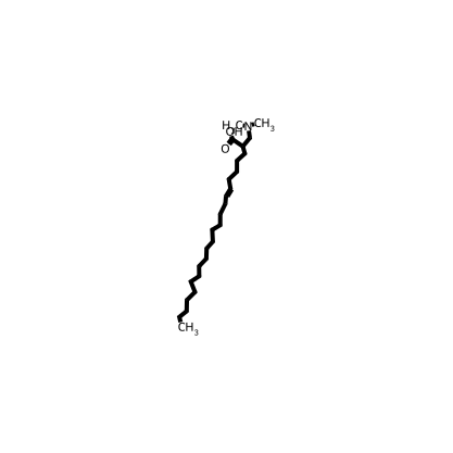 CCCCCCCCCCCCCCCC=CCCCCC(CN(C)C)C(=O)O